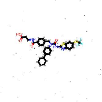 O=C(O)CCNC(=O)c1ccc(CN(C(=O)Nc2nc3ccc(SC(F)(F)F)cc3s2)c2ccc(C3CCCCC3)cc2)cc1